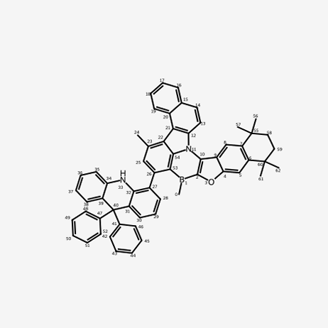 CB1c2oc3cc4c(cc3c2-n2c3ccc5ccccc5c3c3c(C)cc(-c5cccc6c5Nc5ccccc5C6(c5ccccc5)c5ccccc5)c1c32)C(C)(C)CCC4(C)C